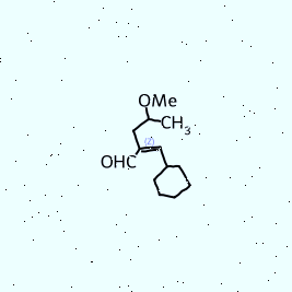 COC(C)C/C(C=O)=C/C1CCCCC1